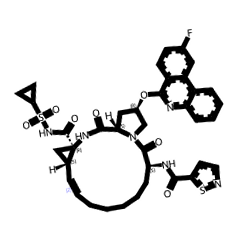 O=C(N[C@H]1CCCCC/C=C\[C@@H]2C[C@@]2(C(=O)NS(=O)(=O)C2CC2)NC(=O)[C@@H]2C[C@@H](Oc3nc4ccccc4c4cc(F)ccc34)CN2C1=O)c1ccns1